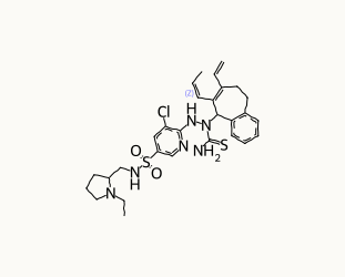 C=CC1=C(/C=C\C)C(N(Nc2ncc(S(=O)(=O)NCC3CCCN3CC)cc2Cl)C(N)=S)c2ccccc2CC1